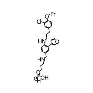 CC(C)Oc1ccc(CCCNc2ccc(CNCCCO[PH](=O)O)cc2-c2ccoc2)cc1Cl